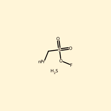 CCCCS(=O)(=O)OF.S